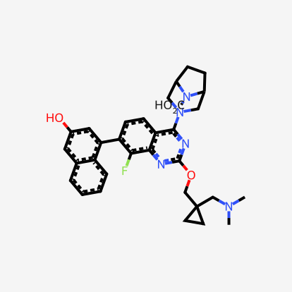 CN(C)CC1(COc2nc(N3CC4CCC(C3)N4C(=O)O)c3ccc(-c4cc(O)cc5ccccc45)c(F)c3n2)CC1